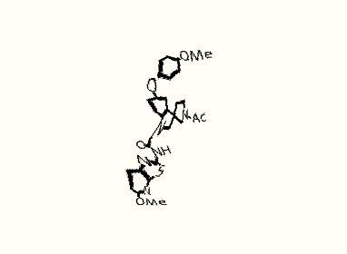 COc1ccc(Oc2ccc3c(c2)C2(CCN(C(C)=O)C2)CN3C(=O)Nc2nc3ccc(OC)nc3s2)cc1